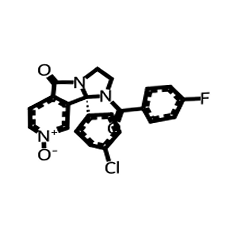 O=C(c1ccc(F)cc1)N1CCN2C(=O)c3cc[n+]([O-])cc3[C@]12c1ccc(Cl)cc1